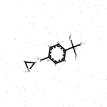 C1CS1.FC(F)(F)c1ccc(I)cc1